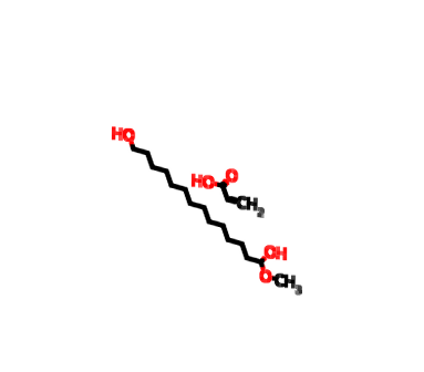 C=CC(=O)O.COC(O)CCCCCCCCCCCCCO